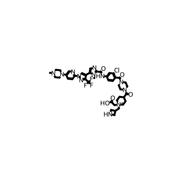 CN1CCN(c2ccc(-n3cc(-c4cnc(C(=O)Nc5ccc(C(=O)N6CCN(C(=O)C7CC[N+](CC(=O)O)(CC8CNC8)CC7)CC6)c(Cl)c5)n4C)c(C(F)(F)F)n3)nc2)CC1